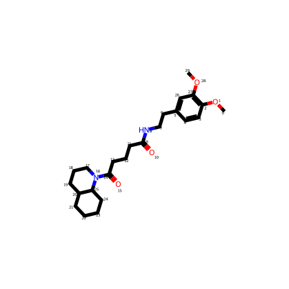 COc1ccc(CCNC(=O)CCCC(=O)N2CCCC3CCCCC32)cc1OC